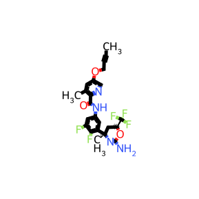 CC#CCOc1cnc(C(=O)Nc2cc(F)c(F)c([C@@]3(C)C[C@@H](C(F)(F)F)OC(N)=N3)c2)c(C)c1